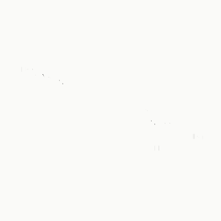 CC(C)COC(C)ONC(=O)C=Cc1ccc(CN[C@H](C(=O)O)C2CCCCC2)cc1